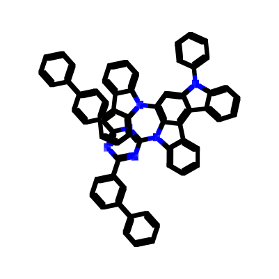 c1ccc(-c2ccc(-c3nc(-c4cccc(-c5ccccc5)c4)nc(-n4c5ccccc5c5c6c7ccccc7n(-c7ccccc7)c6cc(-n6c7ccccc7c7ccccc76)c54)n3)cc2)cc1